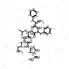 CC(C)C[C@@H](NC(=O)C(Cc1ccccc1)NC(=O)[C@H](N)Cc1ccccc1)C(=O)N[C@H](CCCN)C(=O)N[C@@H]1CN[C@H](C(=O)O)C1